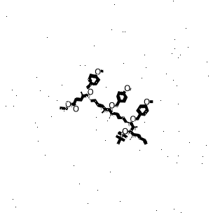 C=CC=C[C@H](C)[C@@H](O[Si](C)(C)C(C)(C)C)[C@H](C)[C@@H](CCC=C[C@H](C)[C@@H](OCc1ccc(OC)cc1)[C@@H](C)C=CCC[C@@H](OCc1ccc(OC)cc1)[C@H](C)C=CC(=O)OCC)OCc1ccc(OC)cc1